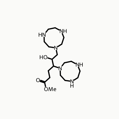 COC(=O)CCC(C(O)CN1CCNCCNCC1)N1CCNCCNCC1